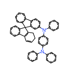 C1=CC2=C(CC1)C1(c3ccccc32)c2ccccc2-c2ccc(N(c3ccccc3)c3ccc(N(c4ccccc4)c4ccccc4)cc3)cc21